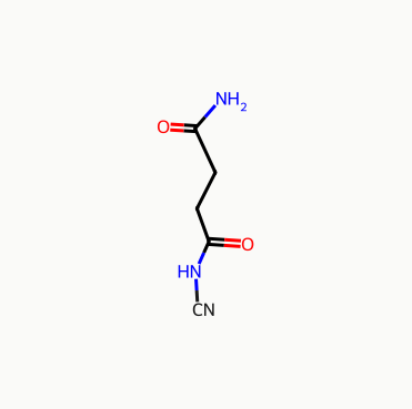 N#CNC(=O)CCC(N)=O